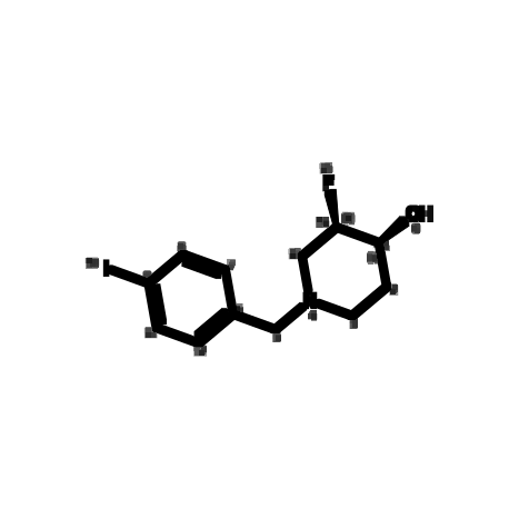 O[C@H]1CCN(Cc2ccc(I)cc2)C[C@H]1F